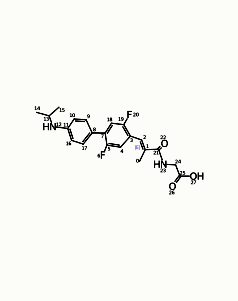 C/C(=C\c1cc(F)c(-c2ccc(NC(C)C)cc2)cc1F)C(=O)NCC(=O)O